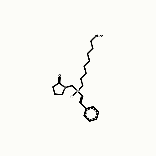 CCCCCCCCCCCCCCCCCC[N+](C=Cc1ccccc1)(CC)CN1CCCC1=O